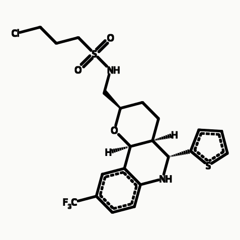 O=S(=O)(CCCCl)NC[C@H]1CC[C@@H]2[C@H](O1)c1cc(C(F)(F)F)ccc1N[C@H]2c1cccs1